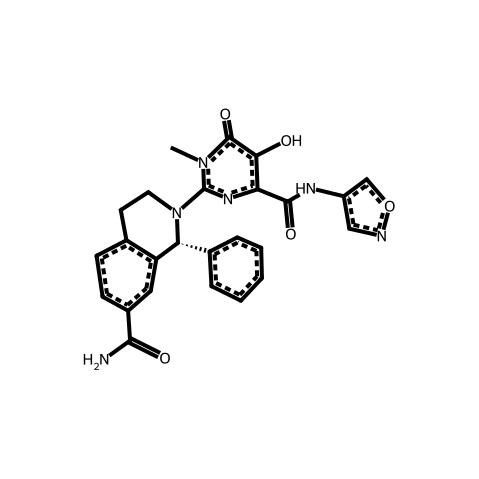 Cn1c(N2CCc3ccc(C(N)=O)cc3[C@H]2c2ccccc2)nc(C(=O)Nc2cnoc2)c(O)c1=O